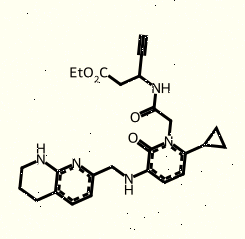 C#CC(CC(=O)OCC)NC(=O)Cn1c(C2CC2)ccc(NCc2ccc3c(n2)NCCC3)c1=O